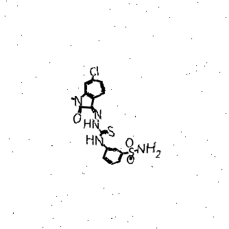 CN1C(=O)C(=NNC(=S)Nc2cccc(S(N)(=O)=O)c2)c2ccc(Cl)cc21